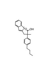 CCCCc1ccc(C(C)(Cc2cc3ccccc3s2)C(=O)O)cc1